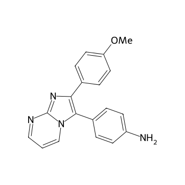 COc1ccc(-c2nc3ncccn3c2-c2ccc(N)cc2)cc1